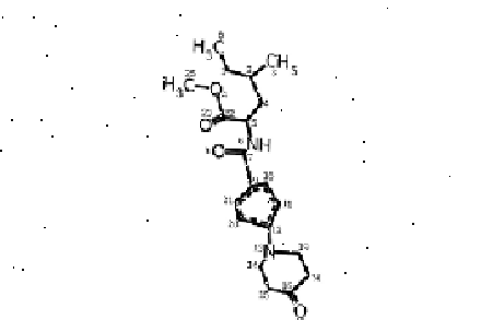 CCC(C)CC(NC(=O)c1ccc(N2CCC(=O)CC2)cc1)C(=O)OC